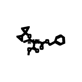 COC(=O)C(NC(=O)OCc1ccccc1)[C@@H](C)OC1(C2CC2)CC1